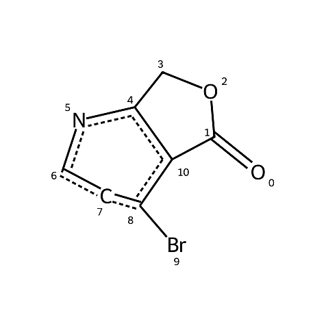 O=C1OCc2nccc(Br)c21